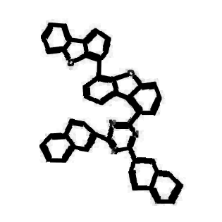 c1ccc2cc(-c3nc(-c4ccc5ccccc5c4)nc(-c4cccc5oc6c(-c7cccc8c7oc7ccccc78)cccc6c45)n3)ccc2c1